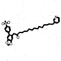 CS(=O)(=O)c1ccc(-c2cc3c(cc2CC(=O)CCCCCCCCCCCCCCc2cccnc2)OCO3)cc1